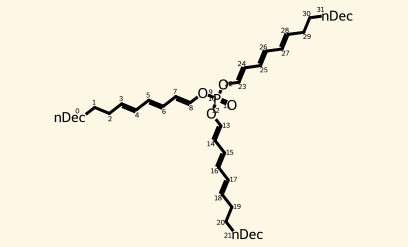 CCCCCCCCCCCC/C=C/C=C/C=C/OP(=O)(O/C=C/C=C/C=C/CCCCCCCCCCCC)O/C=C/C=C/C=C/CCCCCCCCCCCC